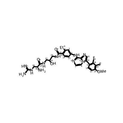 CCc1cc(Nc2nccn3c(-c4ccc(OC)c(F)c4F)cnc23)ccc1C(=O)NCC(O)CNC(=O)[C@@H](N)CNC(=N)N